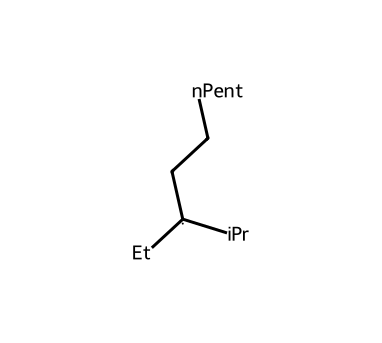 CCCCCCC[C](CC)C(C)C